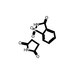 O=C1CCC(=O)N1.O=C1NS(=O)(=O)c2ccccc21